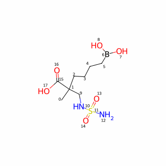 CC(CCCCB(O)O)(CNS(N)(=O)=O)C(=O)O